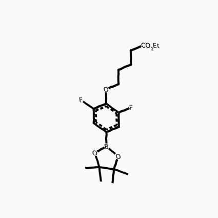 CCOC(=O)CCCCOc1c(F)cc(B2OC(C)(C)C(C)(C)O2)cc1F